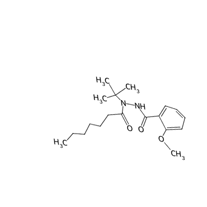 CCCCCCC(=O)N(NC(=O)c1ccccc1OC)C(C)(C)C